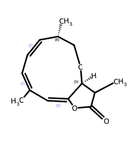 CC1=C/C=C\[C@H](C)CC[C@@H]2/C(=C\1)OC(=O)C2C